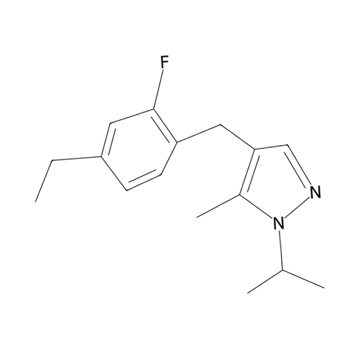 CCc1ccc(Cc2cnn(C(C)C)c2C)c(F)c1